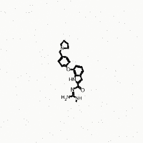 CNC(N)=NC(=O)c1cc2cccc(Oc3ccc(CN4CCCC4)cc3)c2[nH]1